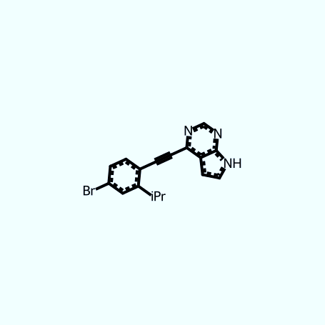 CC(C)c1cc(Br)ccc1C#Cc1ncnc2[nH]ccc12